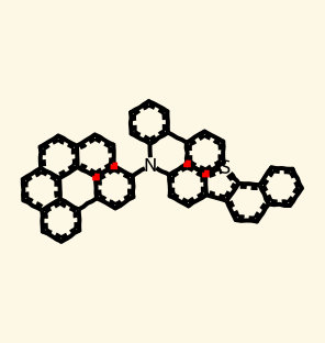 c1ccc(-c2ccccc2N(c2ccc(-c3cccc4ccc5ccc6ccccc6c5c34)cc2)c2ccc3c(c2)sc2c4ccccc4ccc32)cc1